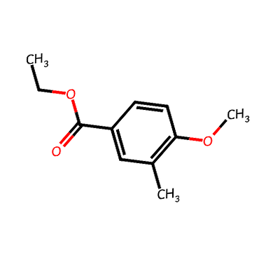 CCOC(=O)c1ccc(OC)c(C)c1